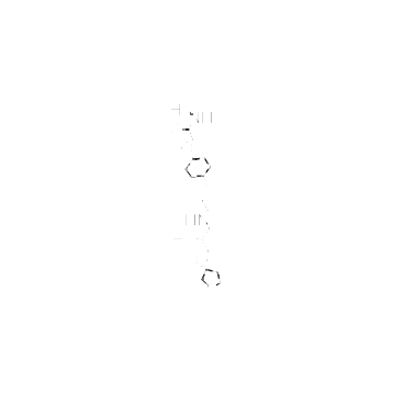 O=C(COc1ccc(OCCNCC(O)COc2ccsc2)cc1)NO